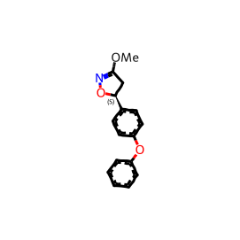 COC1=NO[C@H](c2ccc(Oc3ccccc3)cc2)C1